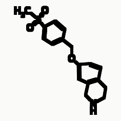 CS(=O)(=O)c1ccc(COc2ccc3c(c2)CNCC3)cc1